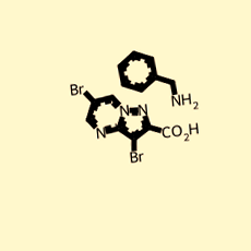 NCc1ccccc1.O=C(O)c1nn2cc(Br)cnc2c1Br